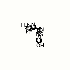 Nc1ncc(-c2cnc3sc(N4CCC(O)CC4)nn23)cc1C(F)(F)F